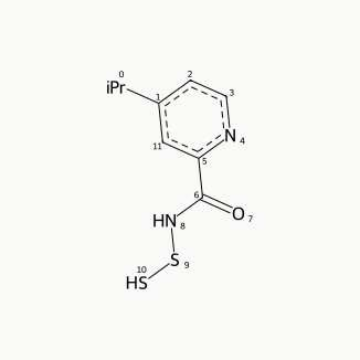 CC(C)c1ccnc(C(=O)NSS)c1